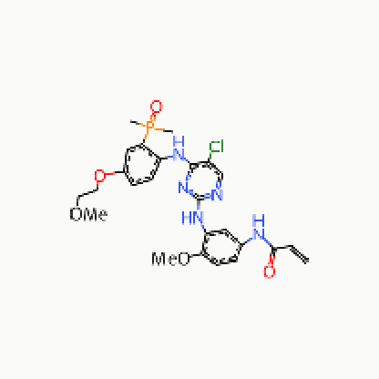 C=CC(=O)Nc1ccc(OC)c(Nc2ncc(Cl)c(Nc3ccc(OCCOC)cc3P(C)(C)=O)n2)c1